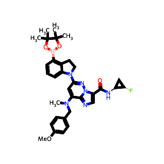 COc1ccc(CN(C)c2cc(N3CCc4c(B5OC(C)(C)C(C)(C)O5)cccc43)nn3c(C(=O)N[C@@H]4C[C@@H]4F)cnc23)cc1